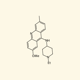 CCN1CCC(Nc2c3ccc(C)cc3nc3ccc(OC)cc23)CC1